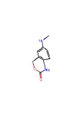 CNc1ccc2c(c1)COC(=O)N2